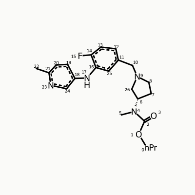 CCCOC(=O)N(C)[C@H]1CCN(Cc2ccc(F)c(Nc3ccc(C)nc3)c2)C1